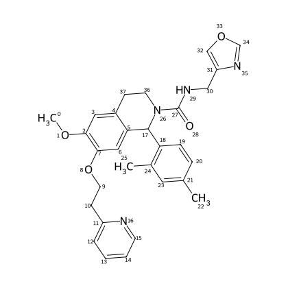 COc1cc2c(cc1OCCc1ccccn1)C(c1ccc(C)cc1C)N(C(=O)NCc1cocn1)CC2